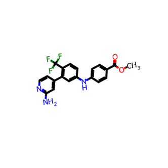 COC(=O)c1ccc(Nc2ccc(C(F)(F)F)c(-c3ccnc(N)c3)c2)cc1